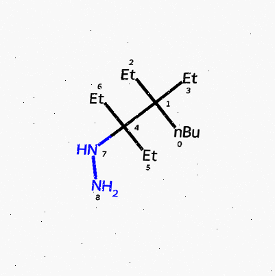 CCCCC(CC)(CC)C(CC)(CC)NN